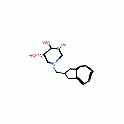 OC1[C@H](O)CN(CC2Cc3ccccc3C2)C[C@@H]1O